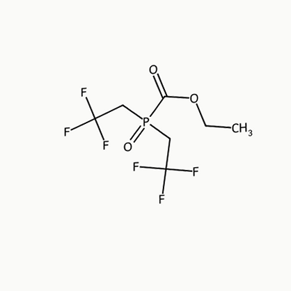 CCOC(=O)P(=O)(CC(F)(F)F)CC(F)(F)F